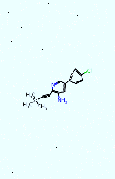 C[Si](C)(C)C#Cc1ncc(-c2ccc(Cl)cc2)cc1N